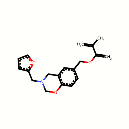 C=C(C)C(=C)OCc1ccc2c(c1)CN(Cc1ccco1)CO2